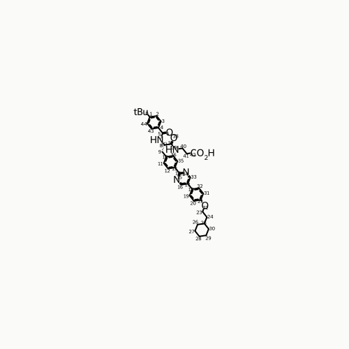 CC(C)(C)c1ccc(C(=O)N[C@@H](Cc2ccc(-c3ncc(-c4ccc(OCCC5CCCCC5)cc4)cn3)cc2)C(=O)NCCC(=O)O)cc1